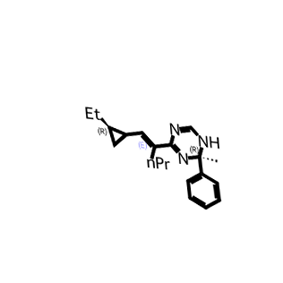 CCC/C(=C\C1C[C@H]1CC)C1=N[C@](C)(c2ccccc2)NC=N1